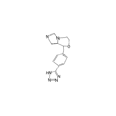 C1=NCC2C(c3ccc(-c4nnn[nH]4)cc3)OCCN12